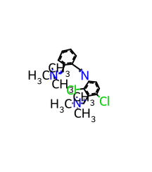 C[N+](C)(C)Cc1c(Cl)cccc1Cl.C[N+](C)(C)Cc1ccccc1C#N